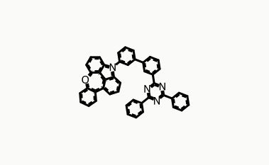 c1ccc(-c2nc(-c3ccccc3)nc(-c3cccc(-c4cccc(-n5c6cccc7oc8ccccc8c8cccc5c8c76)c4)c3)n2)cc1